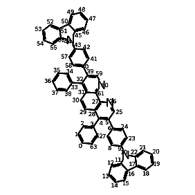 c1ccc(-c2c(-c3ccc(-n4c5ccccc5c5ccccc54)cc3)cnc3c2ccc2c(-c4ccccc4)c(-c4ccc(-n5c6ccccc6c6ccccc65)cc4)cnc23)cc1